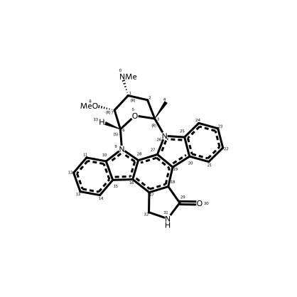 CN[C@@H]1C[C@@]2(C)O[C@@H]([C@@H]1OC)n1c3ccccc3c3c4c(c5c6ccccc6n2c5c31)C(=O)NC4